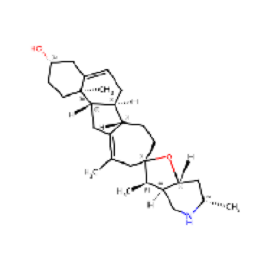 CC1=C2C[C@H]3[C@@H](CC=C4C[C@@H](O)CC[C@@]43C)[C@@H]2CC[C@@]2(C1)O[C@@H]1C[C@H](C)NC[C@H]1[C@H]2C